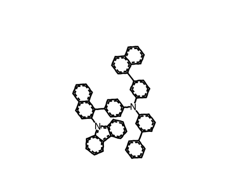 c1ccc(-c2cccc(N(c3ccc(-c4c(-n5c6ccccc6c6ccccc65)ccc5ccccc45)cc3)c3cccc(-c4cccc5ccccc45)c3)c2)cc1